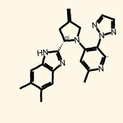 C=C1C[C@@H](c2nc3cc(C)c(C)cc3[nH]2)N(c2cc(C)n[c]c2-n2nccn2)C1